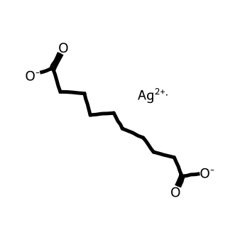 O=C([O-])CCCCCCCCC(=O)[O-].[Ag+2]